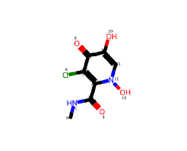 CNC(=O)c1c(Cl)c(=O)c(O)cn1O